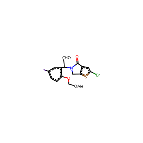 COCOc1ccc(I)cc1C(C=O)N1Cc2sc(Br)cc2C1=O